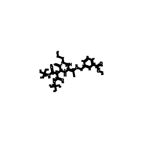 C=NC(N/C(NCCCC)=C(\C)OCc1cccc(C(=O)OC)c1)N(C(=O)OC(C)(C)C)C(=O)OC(C)(C)C